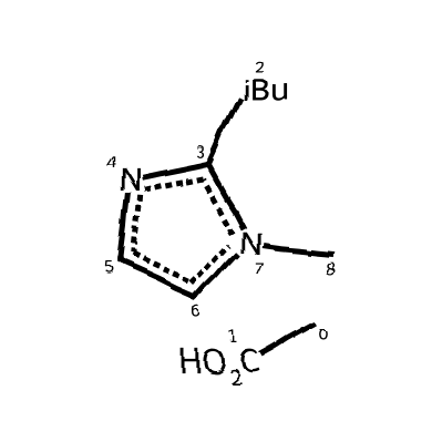 CC(=O)O.CCC(C)c1nccn1C